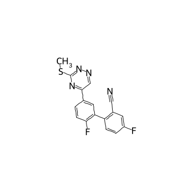 CSc1nncc(-c2ccc(F)c(-c3ccc(F)cc3C#N)c2)n1